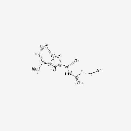 C=C(CCF)NC(=O)c1cc2ccnc(OC)c2[nH]1